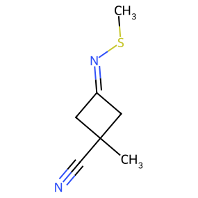 CSN=C1CC(C)(C#N)C1